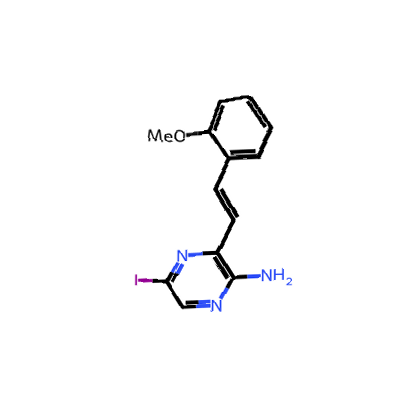 COc1ccccc1/C=C/c1nc(I)cnc1N